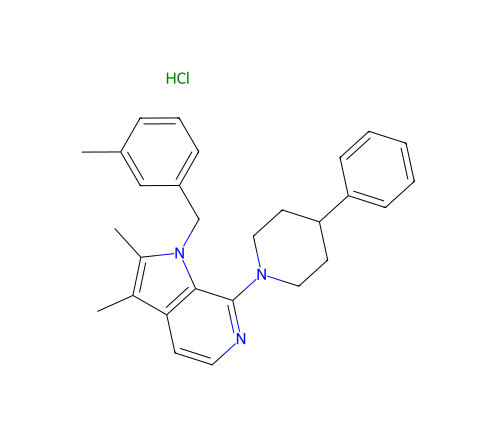 Cc1cccc(Cn2c(C)c(C)c3ccnc(N4CCC(c5ccccc5)CC4)c32)c1.Cl